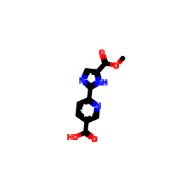 COC(=O)c1cnc(-c2ccc(C(=O)O)cn2)[nH]1